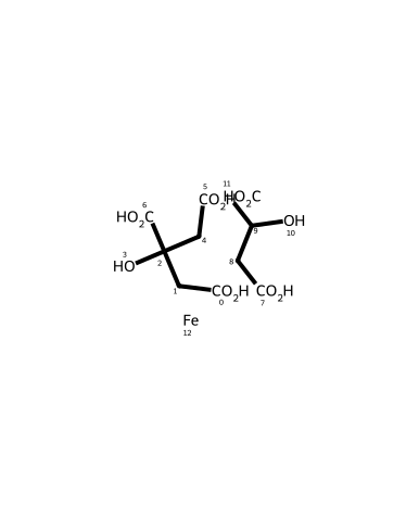 O=C(O)CC(O)(CC(=O)O)C(=O)O.O=C(O)CC(O)C(=O)O.[Fe]